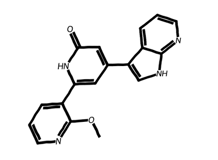 COc1ncccc1-c1cc(-c2c[nH]c3ncccc23)cc(=O)[nH]1